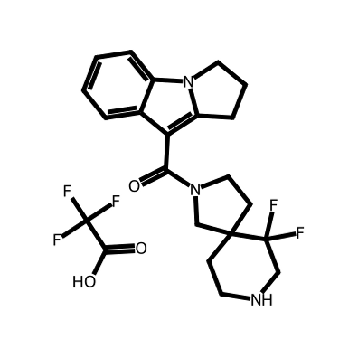 O=C(O)C(F)(F)F.O=C(c1c2n(c3ccccc13)CCC2)N1CCC2(CCNCC2(F)F)C1